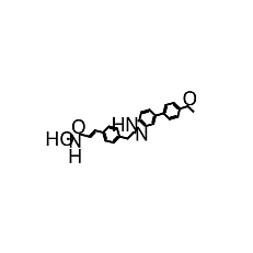 CC(=O)c1ccc(-c2ccc3[nH]c(Cc4ccc(/C=C/C(=O)NO)cc4)nc3c2)cc1